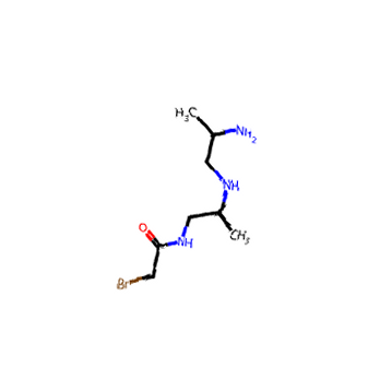 CC(N)CNC(C)CNC(=O)CBr